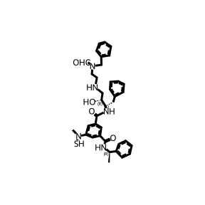 C[C@@H](NC(=O)c1cc(C(=O)N[C@@H](Cc2ccccc2)[C@H](O)CNCCN(C=O)Cc2ccccc2)cc(N(C)S)c1)c1ccccc1